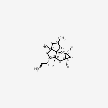 C=CC[C@@H]1C[C@]2(O)CC(C)O[C@@]23C[C@H]2C[C@H]2C[C@H]13